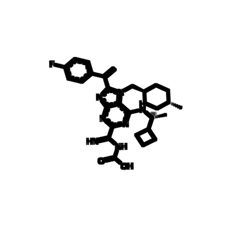 C=C(c1ccc(F)cc1)c1nc2nc(C(=N)NC(=O)O)nc(N[C@H](C)C3CCC3)c2n1C[C@H]1CC[C@H](C)CC1